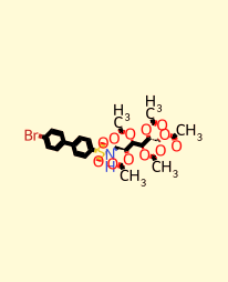 CC(=O)OC[C@@H](OC(C)=O)[C@@H](OC(C)=O)[C@H](OC(C)=O)[C@H](CNS(=O)(=O)c1ccc(-c2ccc(Br)cc2)cc1)OC(C)=O